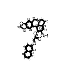 O=C(COc1ccc2ccccc2c1)OC1C(O)C=C2CCN3Cc4cc5c(cc4C1C23)OCO5